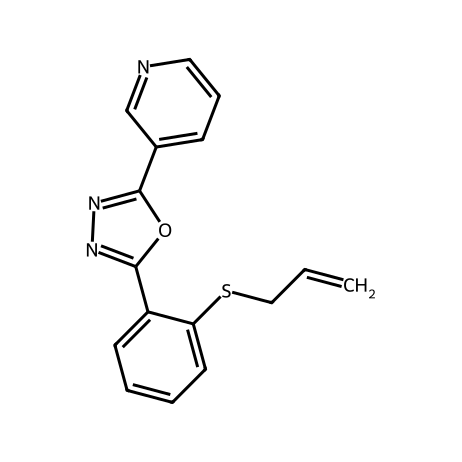 C=CCSc1ccccc1-c1nnc(-c2cccnc2)o1